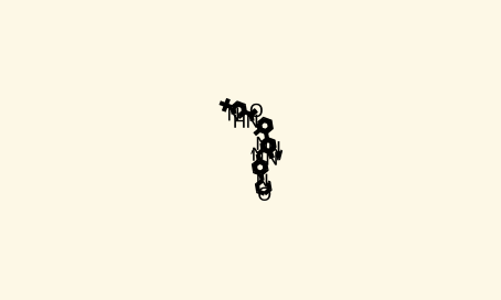 Cc1c(NC(=O)c2ccc(C(C)(C)C)nc2)cccc1-c1cn2ccnc2c(N(C)c2ccc(N3CCOCC3)cc2)n1